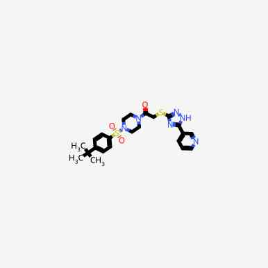 CC(C)(C)c1ccc(S(=O)(=O)N2CCN(C(=O)CSc3n[nH]c(-c4cccnc4)n3)CC2)cc1